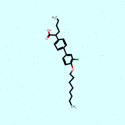 CCCCCCCCOc1ccc(-c2ccc(C(CCCC)C(=O)O)cc2)cc1F